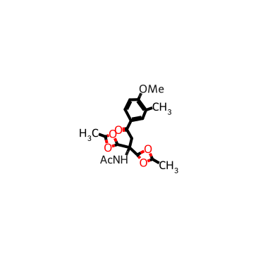 COc1ccc(C(=O)CC(NC(C)=O)(C2OC(C)O2)C2OC(C)O2)cc1C